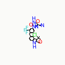 CC1(C)COCc2[nH]c3ccc(Cc4c(Cl)cc(-n5nc(C#N)c(=O)[nH]c5=O)cc4C(F)(F)F)cc3c21